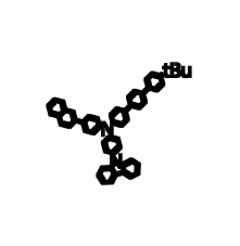 CC(C)(C)c1ccc(-c2ccc(-c3ccc(N(c4ccc(-c5ccc6ccccc6c5)cc4)c4ccc(-n5c6ccccc6c6ccccc65)cc4)cc3)cc2)cc1